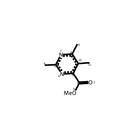 COC(=O)c1nc(C)nc(C)c1C